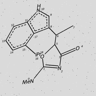 CNC1=NC(=O)C(C(C)c2c[nH]c3cccc(C(C)C)c23)O1